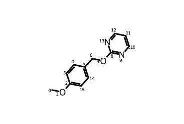 COc1ccc(COc2n[c]ccn2)cc1